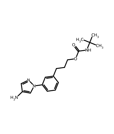 CC(C)(C)NC(=O)OCCCc1cccc(-n2cc(N)cn2)c1